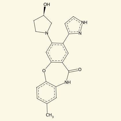 Cc1ccc2c(c1)NC(=O)c1cc(-c3cc[nH]n3)c(N3CC[C@@H](O)C3)cc1O2